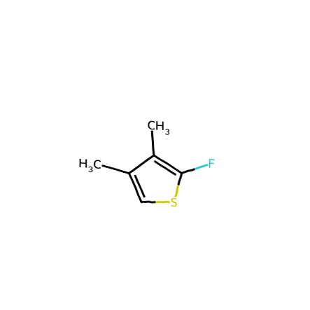 Cc1csc(F)c1C